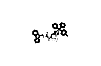 Cc1ccc(C(c2ccccc2)(c2ccccc2)n2cnc(CC(NC(=O)OCC3c4ccccc4-c4ccccc43)C(=O)O)c2)cc1